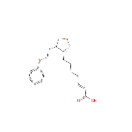 O=C(O)/C=C/CCCCC1CSCC1CCSc1ccccc1